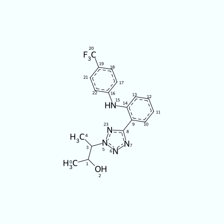 CC(O)C(C)n1nnc(-c2ccccc2Nc2ccc(C(F)(F)F)cc2)n1